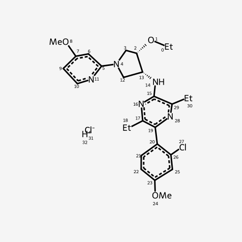 CCO[C@H]1CN(c2cc(OC)ccn2)C[C@H]1Nc1nc(CC)c(-c2ccc(OC)cc2Cl)nc1CC.[Cl-].[H+]